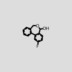 OC1OCc2ccccc2-c2cc(F)ccc21